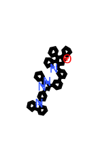 c1ccc(-c2nc(-c3ccc(-n4c5ccccc5c5ccccc54)cc3)cc(-c3cccc(-c4cccc(-c5nc6ccccc6c6c(-c7ccccc7)c7c(cc56)oc5ccccc57)c4)c3)n2)cc1